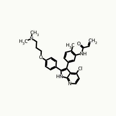 C=CC(=O)Nc1cc(-c2c(-c3ccc(OCCCN(C)C)cc3)[nH]c3nccc(Cl)c23)ccc1C